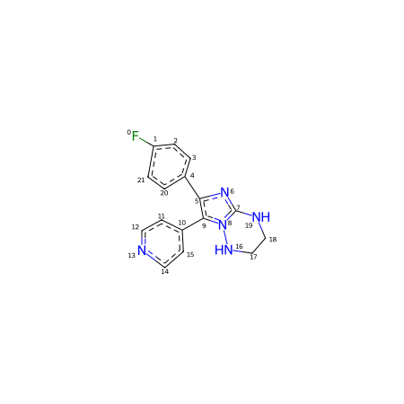 Fc1ccc(-c2nc3n(c2-c2ccncc2)NCCN3)cc1